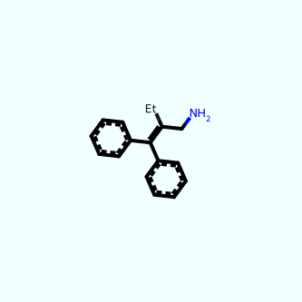 CCC(CN)=C(c1ccccc1)c1ccccc1